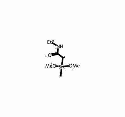 CCNC(=O)C[Si](C)(OC)OC